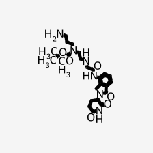 CC(C)(C)OC(=O)N(CCCN)CCNCC(=O)Nc1cccc2c1CN(C1CCC(=O)NC1=O)C2=O